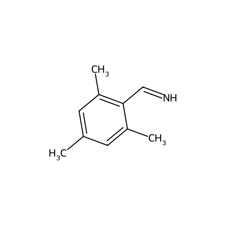 Cc1cc(C)c(C=N)c(C)c1